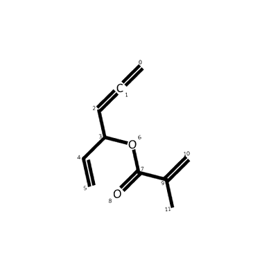 C=C=CC(C=C)OC(=O)C(=C)C